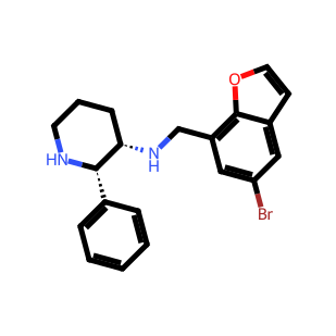 Brc1cc(CN[C@H]2CCCN[C@H]2c2ccccc2)c2occc2c1